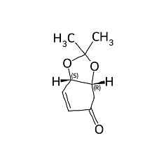 CC1(C)O[C@H]2C=CC(=O)C[C@H]2O1